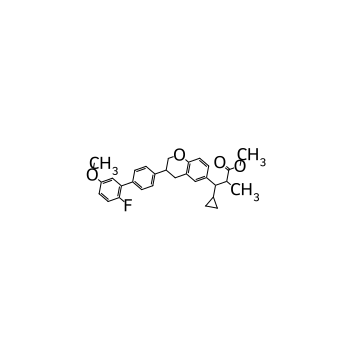 COC(=O)C(C)C(c1ccc2c(c1)CC(c1ccc(-c3cc(OC)ccc3F)cc1)CO2)C1CC1